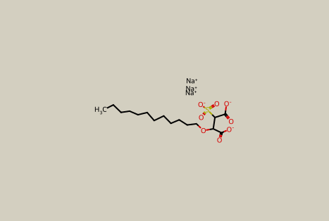 CCCCCCCCCCCCOC(C(=O)[O-])C(C(=O)[O-])S(=O)(=O)[O-].[Na+].[Na+].[Na+]